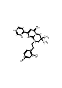 CC1(C)CN(CCc2ccc(F)cc2Cl)c2nc(-c3ccncn3)cc(=O)n2C1